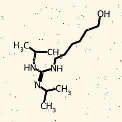 CC(C)/N=C(\NCCCCCCO)NC(C)C